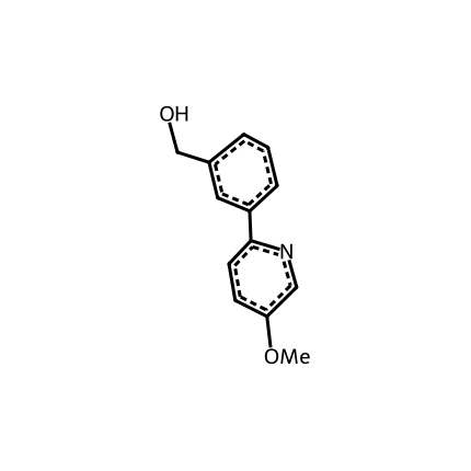 COc1ccc(-c2cccc(CO)c2)nc1